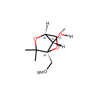 [3H]O[C@H]1[C@H]2OC(C)(C)[C@]1(COC)O[C@H]2C